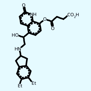 CCc1cc2c(cc1CC)CC(NCC(O)c1ccc(OC(=O)CCC(=O)O)c3[nH]c(=O)ccc13)C2